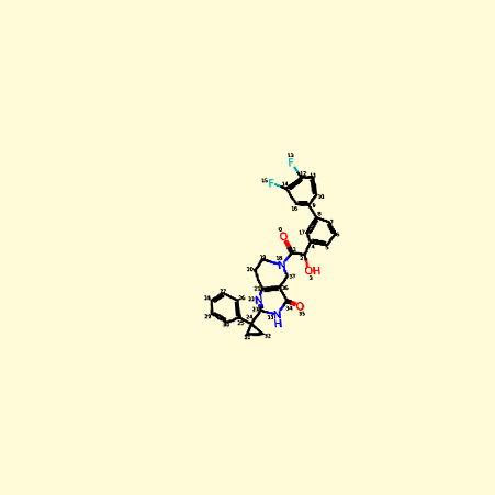 O=C(C(O)c1cccc(-c2ccc(F)c(F)c2)c1)N1CCc2nc(C3(c4ccccc4)CC3)[nH]c(=O)c2C1